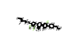 CCCCCCCc1ccc(-c2ccc(-c3ccc(C4=CCC(CCC)CC4)c(F)c3)cc2)c(F)c1F